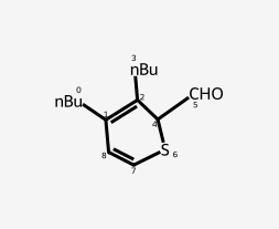 CCCCC1=C(CCCC)C(C=O)SC=C1